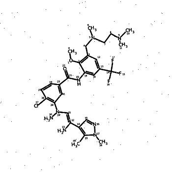 COc1c(CN(C)CCN(C)C)cc(C(F)(F)F)cc1NC(=O)c1ccc(Cl)c(N(N)/C=C(\N)c2cnn(C)c2C)c1